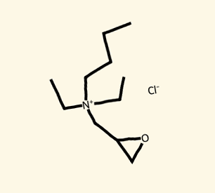 CCCC[N+](CC)(CC)CC1CO1.[Cl-]